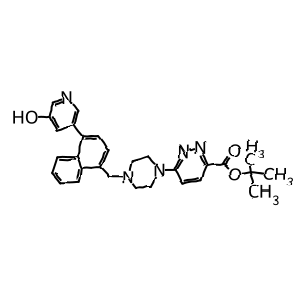 CC(C)(C)OC(=O)c1ccc(N2CCN(Cc3ccc(-c4cncc(O)c4)c4ccccc34)CC2)nn1